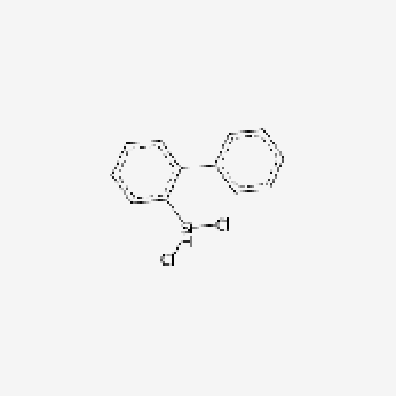 Cl[SiH](Cl)c1ccccc1-c1ccccc1